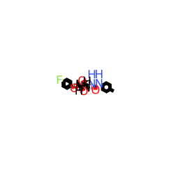 CC1CCC(NC(=O)N[C@H]2CO[C@H]3[C@@H]2OC[C@@H]3Oc2ccc(F)cc2)CC1